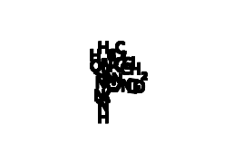 C=C/C(Cc1c(CO)nc2c(-c3c[nH]cn3)cc(N3CCOCC3)nn12)=C(C)\C(Cl)=C/C